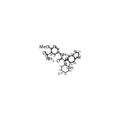 COc1ncc(NC(=O)C(=O)N2C[C@@H](C)CC[C@@]2(C)c2ccc3scnc3c2)cc1C(N)=O